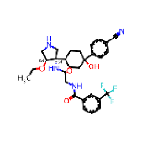 CCO[C@H]1CNC[C@@]1(NC(=O)CNC(=O)c1cccc(C(F)(F)F)c1)C1CCC(O)(c2ccc(C#N)cc2)CC1